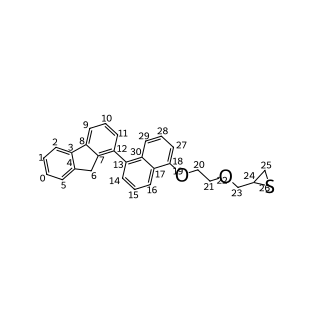 c1ccc2c(c1)Cc1c-2cccc1-c1cccc2c(OCCOCC3CS3)cccc12